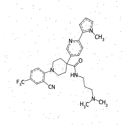 CN(C)CCCNC(=O)C1(c2ccc(-c3cccn3C)nc2)CCN(c2ccc(C(F)(F)F)cc2C#N)CC1